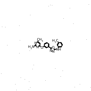 Cc1cccc(Nc2nnc(-c3cccc(Oc4cc(C)nc(N)n4)c3)o2)c1